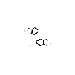 Oc1cc2c(cc1Oc1cccc3c1COC3)COC2